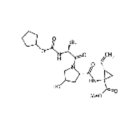 C=C[C@@H]1C[C@]1(NC(=O)[C@@H]1CC(O)CN1C(=O)[C@@H](NC(=O)OC1CCCC1)C(C)(C)C)C(=O)OC